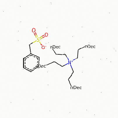 CCCCCCCCCCCC[N+](CCCCCCCCCCCC)(CCCCCCCCCCCC)CCCCCCCCCCCC.O=S(=O)([O-])Cc1ccccc1